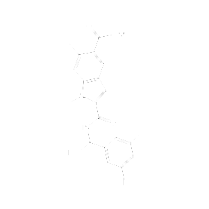 CCn1c(C(=O)NC(c2cc(F)cc(Cl)c2)C(F)(F)F)cc2cc(C(=O)OC)c(C)cc21